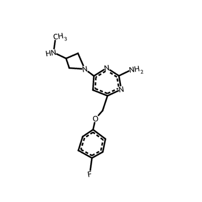 CNC1CN(c2cc(COc3ccc(F)cc3)nc(N)n2)C1